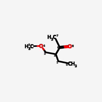 CCC(COC)C(C)=O